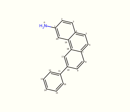 Nc1ccc2ccc3ccc(-c4ccccc4)cc3c2c1